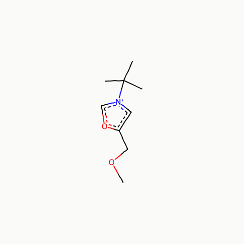 COCc1c[n+](C(C)(C)C)co1